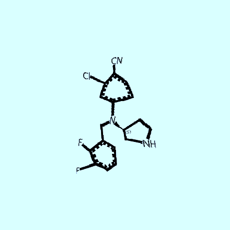 N#Cc1ccc(N(Cc2cccc(F)c2F)[C@H]2CCNC2)cc1Cl